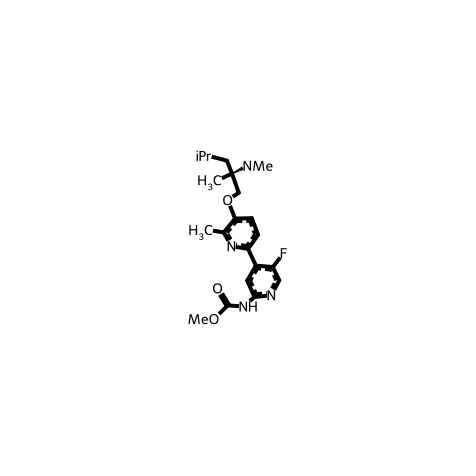 CN[C@](C)(COc1ccc(-c2cc(NC(=O)OC)ncc2F)nc1C)CC(C)C